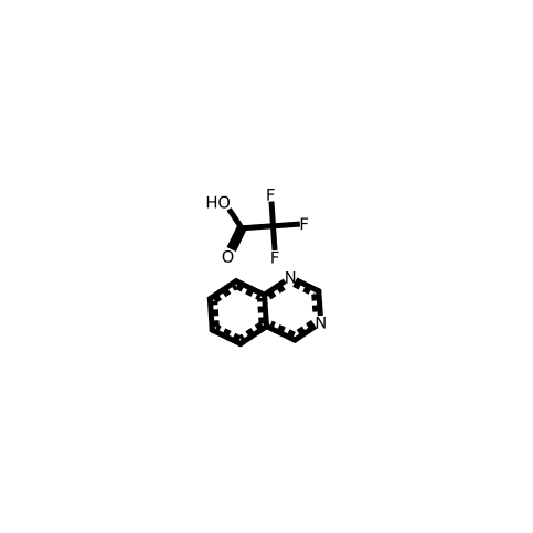 O=C(O)C(F)(F)F.c1ccc2ncncc2c1